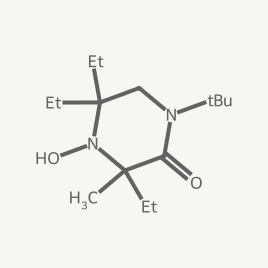 CCC1(CC)CN(C(C)(C)C)C(=O)C(C)(CC)N1O